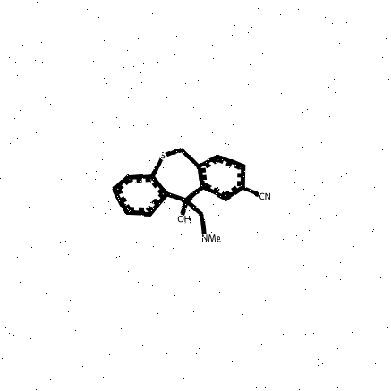 CNCC1(O)c2cc(C#N)ccc2CSc2ccccc21